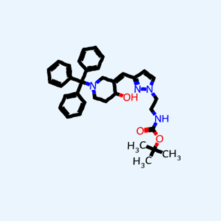 CC(C)(C)OC(=O)NCCn1ccc(C=C2CN(C(c3ccccc3)(c3ccccc3)c3ccccc3)CCC2O)n1